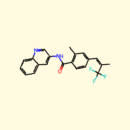 CC(=Cc1ccc(C(=O)Nc2cnc3ccccc3c2)c(C)c1)C(F)(F)F